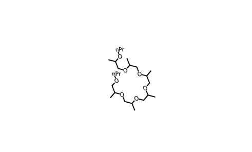 CCCOCC(C)OCC(C)OCC(C)OCC(C)OCC(C)OCC(C)OCCC